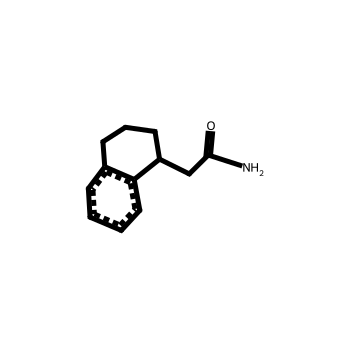 NC(=O)CC1CCCc2ccccc21